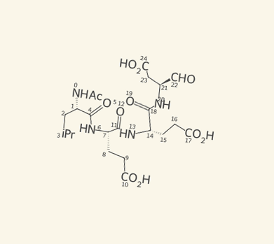 CC(=O)N[C@@H](CC(C)C)C(=O)N[C@@H](CCC(=O)O)C(=O)N[C@@H](CCC(=O)O)C(=O)N[C@H](C=O)CC(=O)O